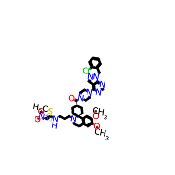 COc1cc2c(cc1OC)[C@]1(CC[C@@H](C(=O)N3CCN(c4ncnc5c4cnn5Cc4ccccc4Cl)CC3)CC1)N(CCCN/C(=C/[N+](=O)[O-])SC)CC2